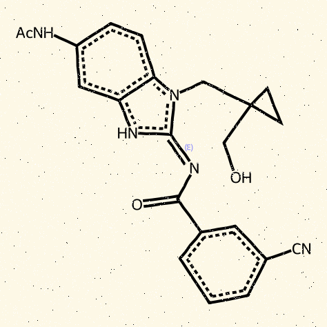 CC(=O)Nc1ccc2c(c1)[nH]/c(=N\C(=O)c1cccc(C#N)c1)n2CC1(CO)CC1